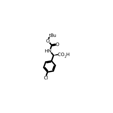 CC(C)(C)OC(=O)N[C@@H](C(=O)O)c1ccc(Cl)cc1